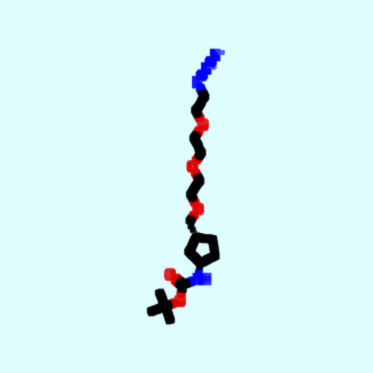 CC(C)(C)OC(=O)N[C@@H]1CC[C@@H](COCCOCCOCCN=[N+]=[N-])C1